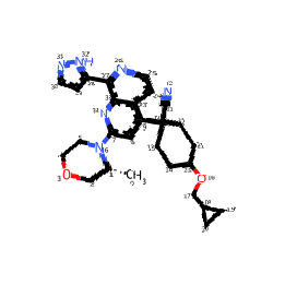 C[C@@H]1COCCN1c1cc(C2(C#N)CCC(OCC3CC3)CC2)c2ccnc(-c3ccn[nH]3)c2n1